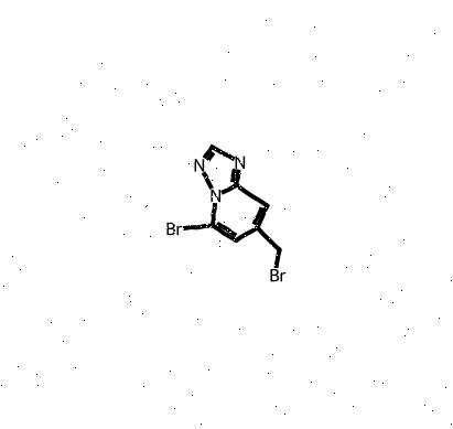 BrCc1cc(Br)n2ncnc2c1